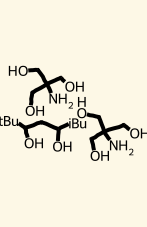 CCC(C)C(O)CC(O)C(C)(C)C.NC(CO)(CO)CO.NC(CO)(CO)CO